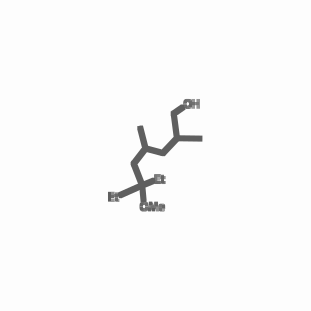 CCC(CC)(CC(C)CC(C)CO)OC